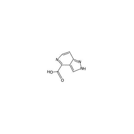 O=C(O)c1nccc2n[nH]cc12